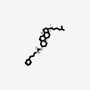 CC(C)CCC[C@@H](C)C1CCC2[C@@H]3CC=C4C[C@@H](OC(=O)NCCCc5ccccc5)CC[C@]4(C)C3CC[C@@]21C